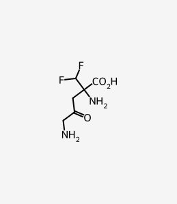 NCC(=O)CC(N)(C(=O)O)C(F)F